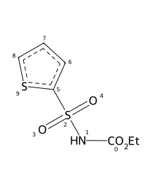 CCOC(=O)NS(=O)(=O)c1cccs1